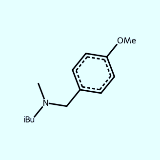 CCC(C)N(C)Cc1ccc(OC)cc1